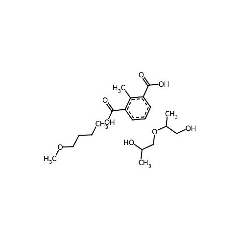 CC(O)COC(C)CO.CCCCOC.Cc1c(C(=O)O)cccc1C(=O)O